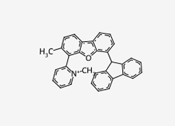 Cc1ccc2c(oc3c(C4c5ccccc5-c5ccccc54)cccc32)c1-c1cccc[n+]1C